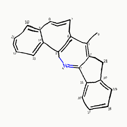 Cc1c2c(nc3c1ccc1ccccc13)-c1ccccc1C2